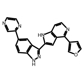 c1cnc(-c2ccc3[nH]nc(-c4cc5c(-c6ccoc6)nccc5[nH]4)c3c2)cn1